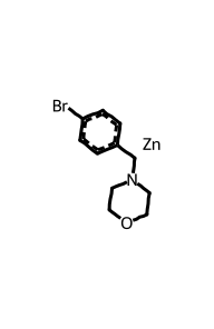 Brc1ccc(CN2CCOCC2)cc1.[Zn]